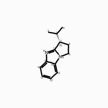 CC(C)[C@@H]1CCn2c1nc1ccccc12